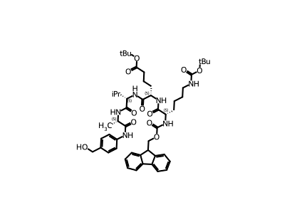 CC(C)[C@H](NC(=O)[C@H](CCCC(=O)OC(C)(C)C)NC(=O)[C@H](CCCCNC(=O)OC(C)(C)C)NC(=O)OCC1c2ccccc2-c2ccccc21)C(=O)N[C@@H](C)C(=O)Nc1ccc(CO)cc1